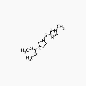 COC(OC)[C@H]1CCN(Sc2cn(C)cn2)C1